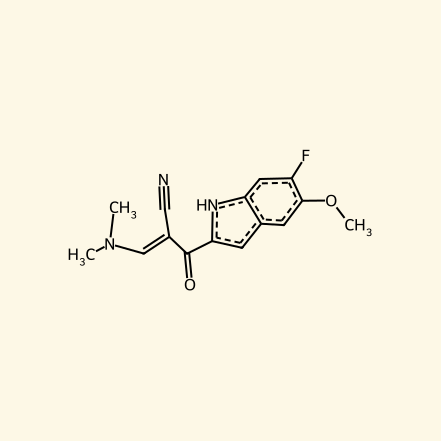 COc1cc2cc(C(=O)C(C#N)=CN(C)C)[nH]c2cc1F